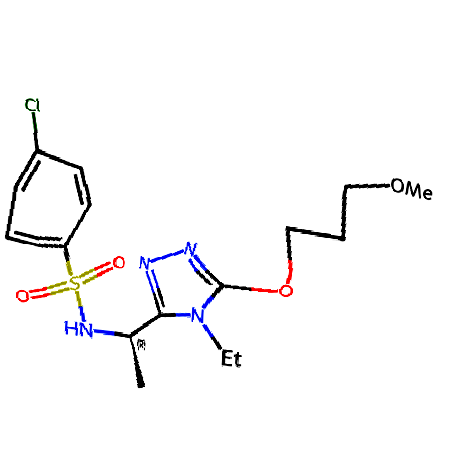 CCn1c(OCCCOC)nnc1[C@@H](C)NS(=O)(=O)c1ccc(Cl)cc1